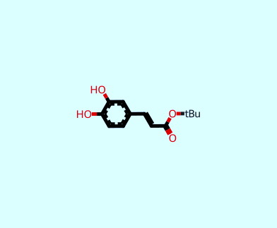 CC(C)(C)OC(=O)C=Cc1ccc(O)c(O)c1